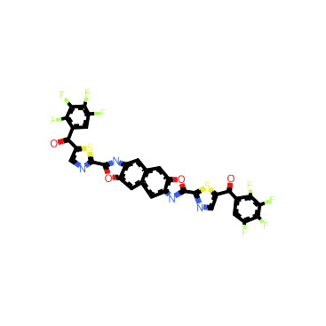 O=C(c1cnc(-c2nc3cc4cc5oc(-c6ncc(C(=O)c7cc(F)c(F)c(F)c7F)s6)nc5cc4cc3o2)s1)c1cc(F)c(F)c(F)c1F